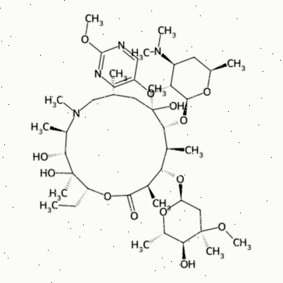 CC[C@H]1OC(=O)[C@H](C)[C@@H](O[C@H]2C[C@@](C)(OC)[C@@H](O)[C@H](C)O2)[C@H](C)[C@@H](O[C@@H]2O[C@H](C)C[C@H](N(C)C)[C@H]2Oc2cnc(OC)nc2)[C@](C)(O)C[C@@H](C)CN(C)[C@H](C)[C@@H](O)[C@]1(C)O